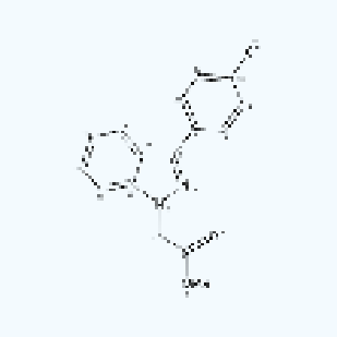 COC(=O)Cn1nc(-c2ccc(C(F)(F)F)cc2)c2ccccc21